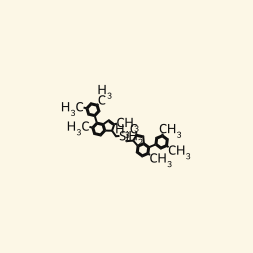 CC1=Cc2c(ccc(C)c2-c2cc(C)cc(C)c2)C1C[SiH2]CC1C(C)=Cc2c1ccc(C)c2-c1cc(C)cc(C)c1